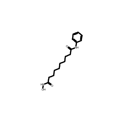 O=C(CCCCCCCCC(=O)Nc1ccccc1)NO